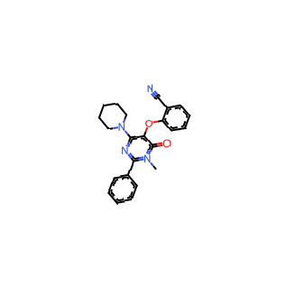 Cn1c(-c2ccccc2)nc(N2CCCCC2)c(Oc2ccccc2C#N)c1=O